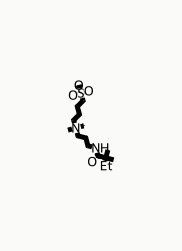 CCC(C)(C)C(=O)NCCC[N+](C)(C)CCCCS(=O)(=O)[O-]